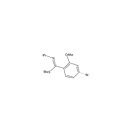 COc1cc(Br)ccc1C(=NC(C)C)SC